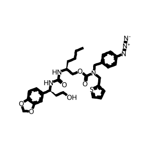 CCCC[C@@H](COC(=O)N(Cc1ccc(N=[N+]=[N-])cc1)Cc1cccs1)NC(=O)N[C@@H](CCO)c1ccc2c(c1)OCO2